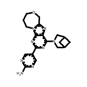 Nc1ncc(-c2nc(N3CC4CC(C4)C3)c3nc4n(c3n2)CCCOC4)cn1